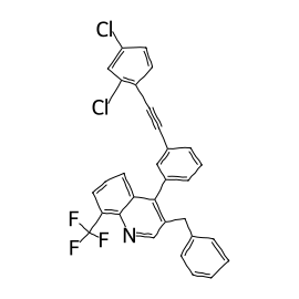 FC(F)(F)c1cccc2c(-c3cccc(C#Cc4ccc(Cl)cc4Cl)c3)c(Cc3ccccc3)cnc12